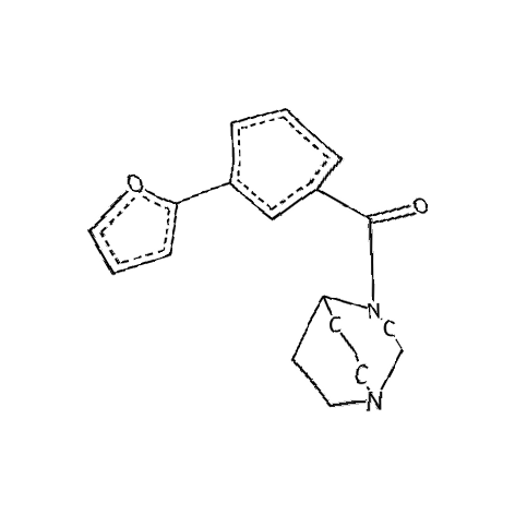 O=C(c1cccc(-c2ccco2)c1)N1CCN2CCC1CC2